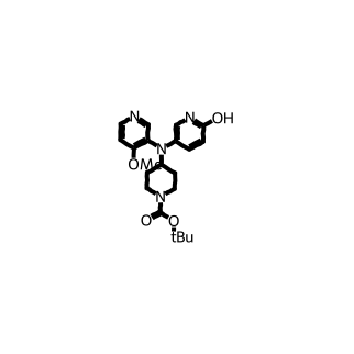 COc1ccncc1N(c1ccc(O)nc1)C1CCN(C(=O)OC(C)(C)C)CC1